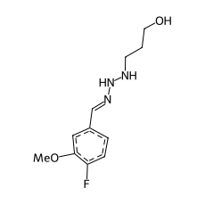 COc1cc(C=NNNCCCO)ccc1F